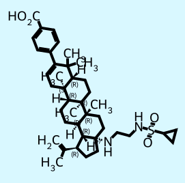 C=C(C)[C@@H]1CC[C@]2(NCCNS(=O)(=O)C3CC3)CC[C@]3(C)[C@H](CC[C@@H]4[C@@]5(C)CC=C(c6ccc(C(=O)O)cc6)C(C)(C)[C@@H]5CC[C@]43C)[C@@H]12